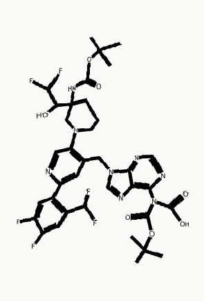 CC(C)(C)OC(=O)NC1(C(O)C(F)F)CCCN(c2cnc(-c3cc(F)c(F)cc3C(F)F)cc2Cn2cnc3c(N(C(=O)O)C(=O)OC(C)(C)C)ncnc32)C1